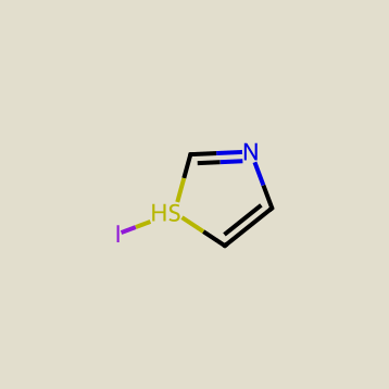 I[SH]1C=CN=C1